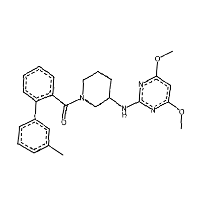 COc1cc(OC)nc(NC2CCCN(C(=O)c3ccccc3-c3cccc(C)c3)C2)n1